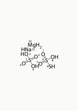 O=S(=O)(O)O.O=S(=O)(O)S.[MgH2].[NaH]